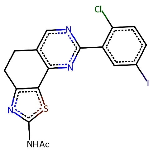 CC(=O)Nc1nc2c(s1)-c1nc(-c3cc(I)ccc3Cl)ncc1CC2